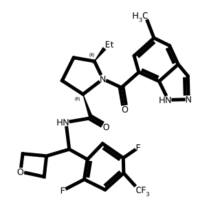 CC[C@@H]1CC[C@H](C(=O)NC(c2cc(F)c(C(F)(F)F)cc2F)C2COC2)N1C(=O)c1cc(C)cc2cn[nH]c12